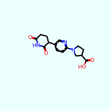 O=C1CCC(c2ccc(N3CCC(C(=O)O)C3)nc2)C(=O)N1